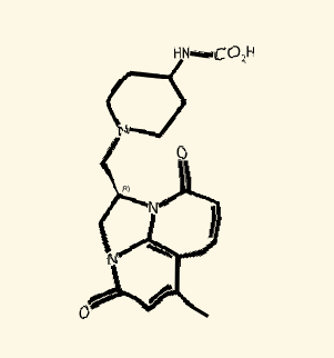 Cc1cc(=O)n2c3c1ccc(=O)n3[C@H](CN1CCC(NC(=O)O)CC1)C2